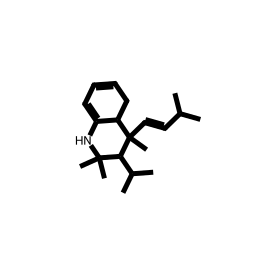 CC(C)C=CC1(C)C2CC=CC=C2NC(C)(C)C1C(C)C